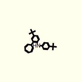 CC(C)(C)c1ccc(Nc2ccc(C(C)(C)C)cc2C2C=CC=CC=C2)cc1